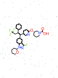 O=C(O)N1CCC[C@H](Oc2ccc(/C(=C(/CC(F)(F)F)c3ccccc3)c3ccc4c(c3)c(F)nn4C3CCCCO3)cn2)C1